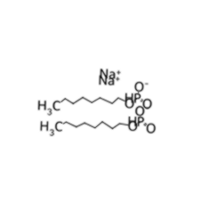 CCCCCCCCO[PH](=O)[O-].CCCCCCCCO[PH](=O)[O-].[Na+].[Na+]